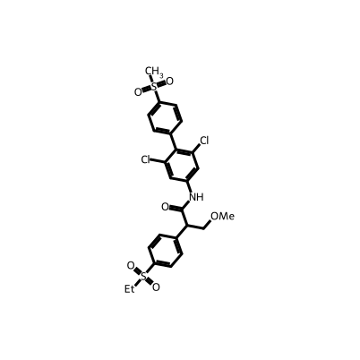 CCS(=O)(=O)c1ccc(C(COC)C(=O)Nc2cc(Cl)c(-c3ccc(S(C)(=O)=O)cc3)c(Cl)c2)cc1